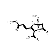 COC(=O)C=CC1=C(C(=O)[O-])N2C(=O)C[C@H]2S1.[Na+]